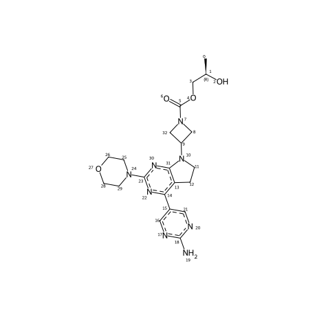 C[C@@H](O)COC(=O)N1CC(N2CCc3c(-c4cnc(N)nc4)nc(N4CCOCC4)nc32)C1